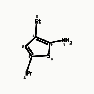 CCc1cc(C(C)C)sc1N